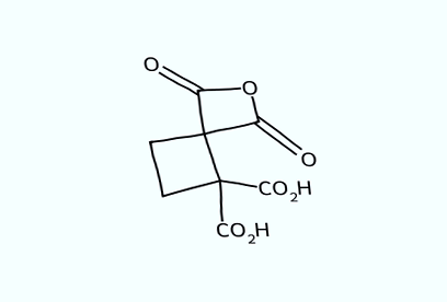 O=C(O)C1(C(=O)O)CCC12C(=O)OC2=O